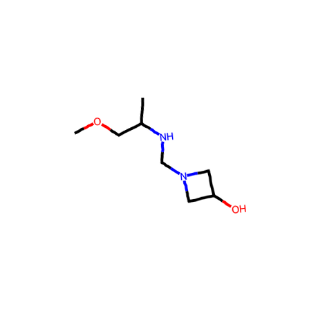 COCC(C)NCN1CC(O)C1